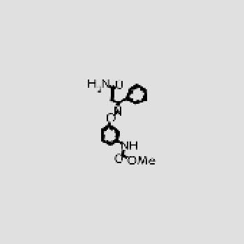 COC(=O)Nc1cccc(O/N=C(\CC(N)=O)c2ccccc2)c1